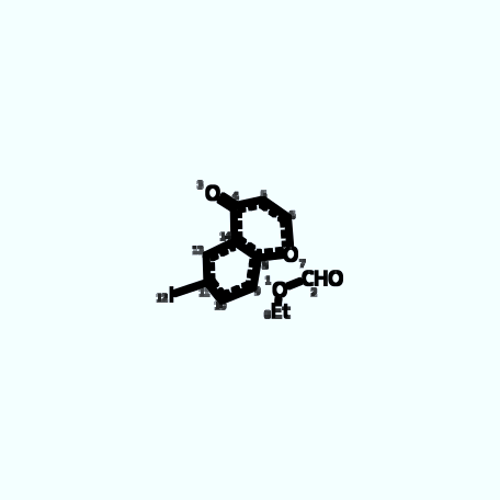 CCOC=O.O=c1ccoc2ccc(I)cc12